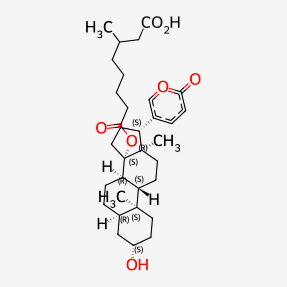 CC(CCCCC(=O)O[C@]12CC[C@H](c3ccc(=O)oc3)[C@@]1(C)CC[C@H]1[C@H]2CC[C@@H]2C[C@@H](O)CC[C@@]21C)CC(=O)O